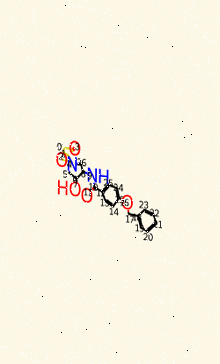 CS(=O)(=O)N1CC(O)C(NC(=O)c2ccc(OCc3ccccc3)cc2)C1